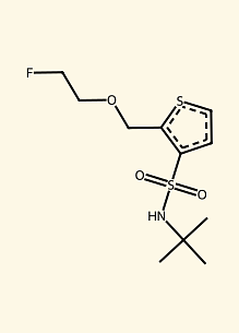 CC(C)(C)NS(=O)(=O)c1ccsc1COCCF